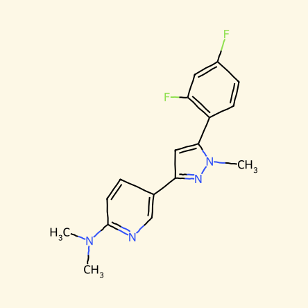 CN(C)c1ccc(-c2cc(-c3ccc(F)cc3F)n(C)n2)cn1